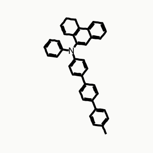 Cc1ccc(-c2ccc(-c3ccc(N(c4ccccc4)c4cc5ccccc5c5c4C=CCC5)cc3)cc2)cc1